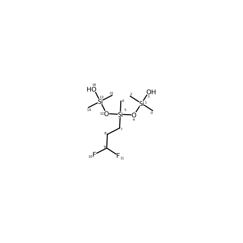 C[Si](C)(O)O[Si](C)(CCC(F)F)O[Si](C)(C)O